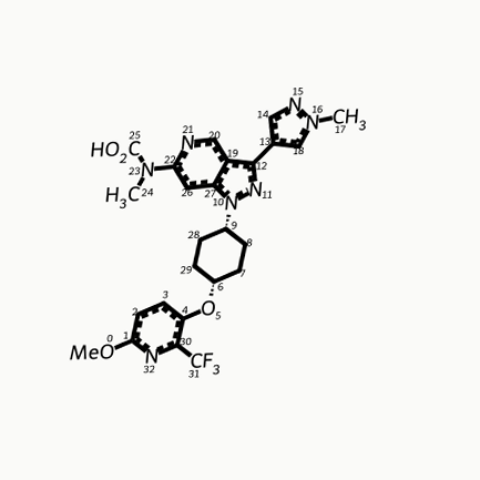 COc1ccc(O[C@H]2CC[C@@H](n3nc(-c4cnn(C)c4)c4cnc(N(C)C(=O)O)cc43)CC2)c(C(F)(F)F)n1